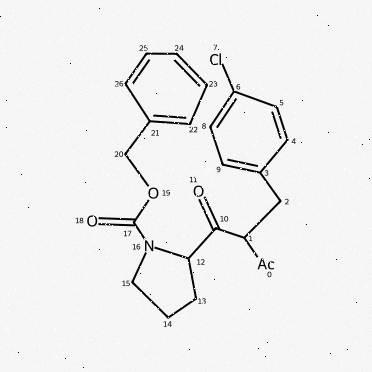 CC(=O)C(Cc1ccc(Cl)cc1)C(=O)C1CCCN1C(=O)OCc1ccccc1